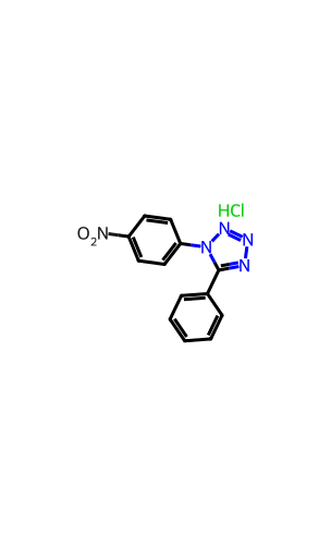 Cl.O=[N+]([O-])c1ccc(-n2nnnc2-c2ccccc2)cc1